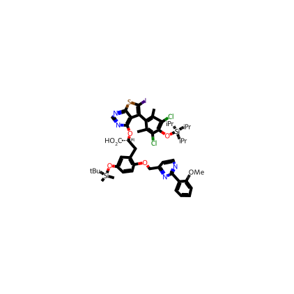 COc1ccccc1-c1nccc(COc2ccc(O[Si](C)(C)C(C)(C)C)cc2C[C@@H](Oc2ncnc3sc(I)c(-c4c(C)c(Cl)c(O[Si](C(C)C)(C(C)C)C(C)C)c(Cl)c4C)c23)C(=O)O)n1